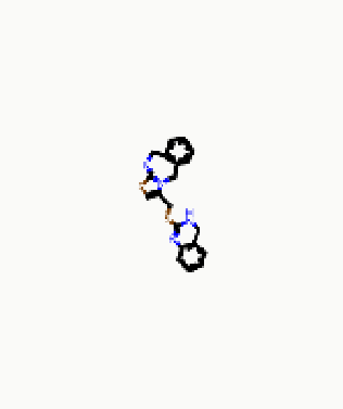 C1=C(CSC2=Nc3ccccc3CN2)N2Cc3ccccc3CN=C2S1